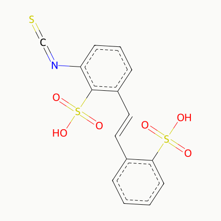 O=S(=O)(O)c1ccccc1C=Cc1cccc(N=C=S)c1S(=O)(=O)O